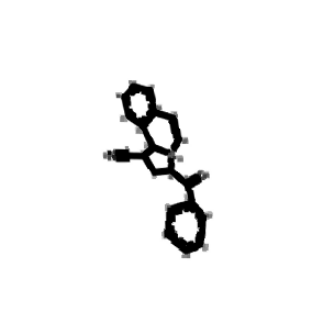 N#CC1CC(C(=O)c2ccccc2)N2C=Cc3ccccc3C12